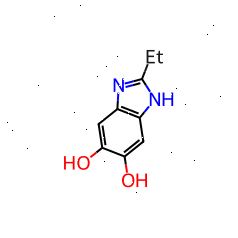 CCc1nc2cc(O)c(O)cc2[nH]1